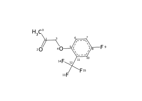 CC(=O)COc1ccc(F)cc1C(F)(F)F